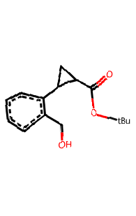 CC(C)(C)OC(=O)C1CC1c1ccccc1CO